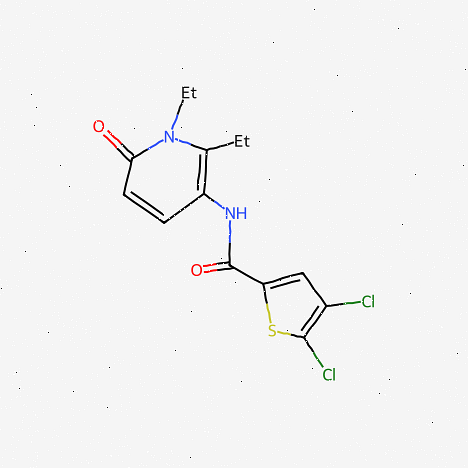 CCc1c(NC(=O)c2cc(Cl)c(Cl)s2)ccc(=O)n1CC